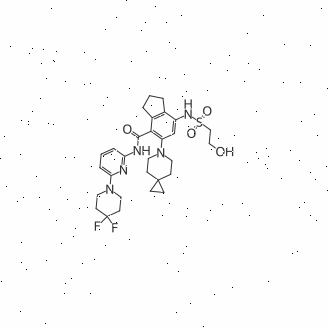 O=C(Nc1cccc(N2CCC(F)(F)CC2)n1)c1c(N2CCC3(CC2)CC3)cc(NS(=O)(=O)CCO)c2c1CCC2